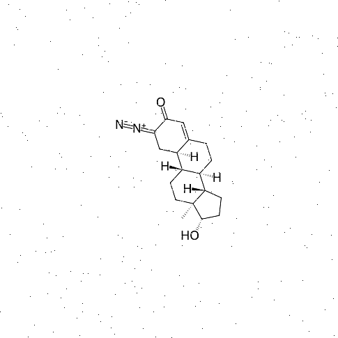 C[C@]12CC[C@H]3[C@@H](CCC4=CC(=O)C(=[N+]=[N-])C[C@@H]43)[C@@H]1CC[C@@H]2O